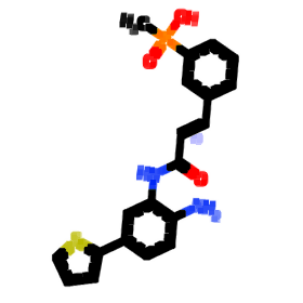 CP(=O)(O)c1cccc(/C=C/C(=O)Nc2cc(-c3cccs3)ccc2N)c1